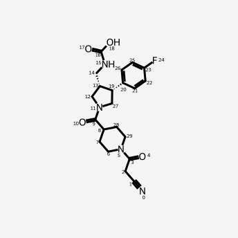 N#CCC(=O)N1CCC(C(=O)N2C[C@H](CNC(=O)O)[C@H](c3ccc(F)cc3)C2)CC1